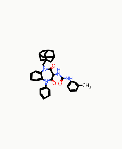 Cc1cccc(NC(=O)NC2C(=O)N(CC34CC5CC(CC(C5)C3)C4)c3ccccc3N(c3ccccc3)C2=O)c1